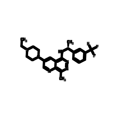 CCN1CCN(c2cnc3c(C)nnc(N[C@H](C)c4cccc(C(F)(F)F)c4)c3c2)CC1